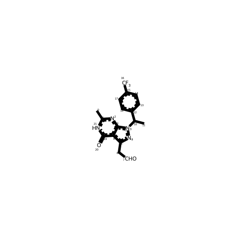 Cc1nc2c(c(CC=O)nn2C(C)c2ccc(C(F)(F)F)cc2)c(=O)[nH]1